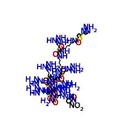 N=C(N)NCCC[C@@H](NC(=O)CCCCCNC(=O)c1ccc(-c2ccnc(N)n2)s1)C(=O)NCCCCCC(=O)N[C@H](CCCNC(=N)N)C(=O)N[C@H](CCCNC(=N)N)C(=O)N[C@H](CCCNC(=N)N)C(=O)N[C@H](CCCNC(=N)N)C(=O)N[C@H](CCCNC(=N)N)C(=O)N[C@H](CCCNC(=N)N)C(=O)N[C@H](CCCCNc1ccc([N+](=O)[O-])c2nonc12)C(N)=O